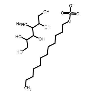 CCCCCCCCCCCCOS(=O)(=O)[O-].OCC(O)C(O)C(O)C(O)CO.[Na+]